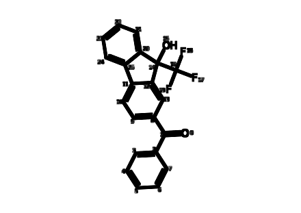 O=C(c1ccccc1)c1ccc2c(c1)C(O)(C(F)(F)F)c1ccccc1-2